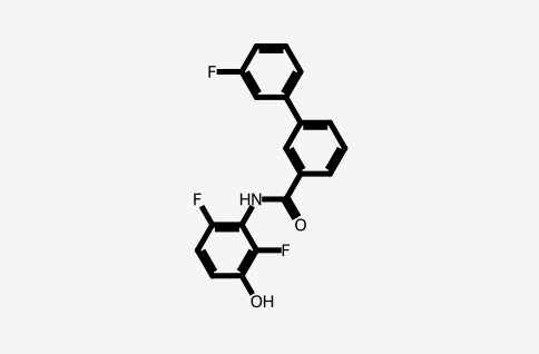 O=C(Nc1c(F)ccc(O)c1F)c1cccc(-c2cccc(F)c2)c1